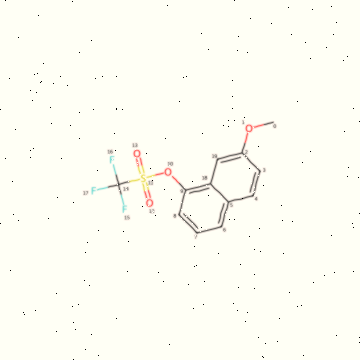 COc1ccc2cccc(OS(=O)(=O)C(F)(F)F)c2c1